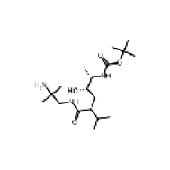 CC(C)[C@H](C[C@H](O)[C@H](C)NC(=O)OC(C)(C)C)C(=O)NCC(C)(C)N